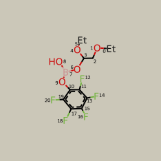 CCOCC(OCC)OB(O)Oc1c(F)c(F)c(F)c(F)c1F